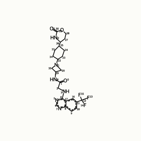 O=C(CNc1ncnc2ccc(C(F)(F)F)cc12)NC1CN(C2CCC(C3CCOC(=O)N3)CC2)C1